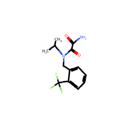 CC(C)N(Cc1ccccc1C(F)(F)F)C(=O)C(N)=O